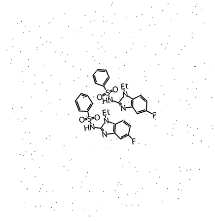 CCn1c(NS(=O)(=O)c2ccccc2)nc2cc(F)ccc21.CCn1c(NS(=O)(=O)c2ccccc2)nc2cc(F)ccc21